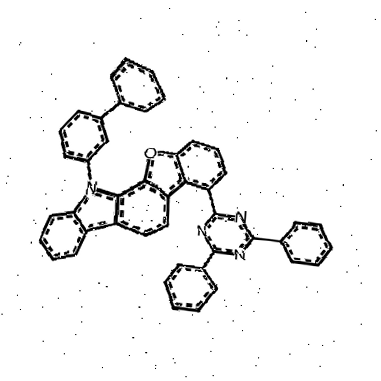 c1ccc(-c2cccc(-n3c4ccccc4c4ccc5c(oc6cccc(-c7nc(-c8ccccc8)nc(-c8ccccc8)n7)c65)c43)c2)cc1